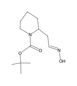 CC(C)(C)OC(=O)N1CCCCC1CC=NO